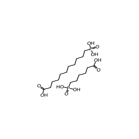 O=C(O)CCCCCCCCCCP(=O)(O)O.O=C(O)CCCCCP(=O)(O)O